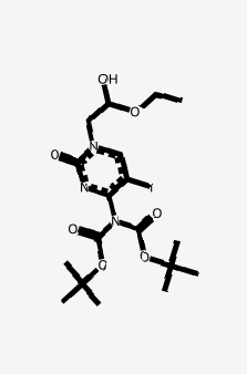 CCOC(O)Cn1cc(I)c(N(C(=O)OC(C)(C)C)C(=O)OC(C)(C)C)nc1=O